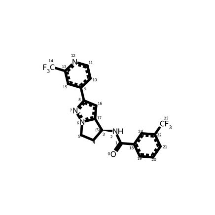 O=C(N[C@H]1CCn2nc(-c3ccnc(C(F)(F)F)c3)cc21)c1cccc(C(F)(F)F)c1